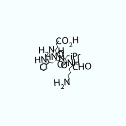 CC(C)C[C@H](NC(=O)[C@H](Cc1c[nH]c2ccccc12)NC(=O)[C@@H](N)CCC(=O)O)C(=O)N[C@H]([C]=O)CCCCN